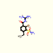 CCc1ccc(C(=O)N=C(N)N)c(Br)c1S(N)(=O)=O